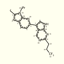 Cc1nc2ccc(-c3c[nH]c4nc(CCC(F)(F)F)ncc34)nc2n1C(C)C